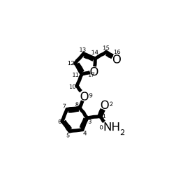 NC(=O)c1ccccc1OCc1ccc(C=O)o1